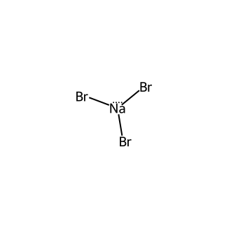 [Br][Na]([Br])[Br]